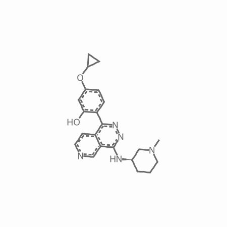 CN1CCC[C@@H](Nc2nnc(-c3ccc(OC4CC4)cc3O)c3ccncc23)C1